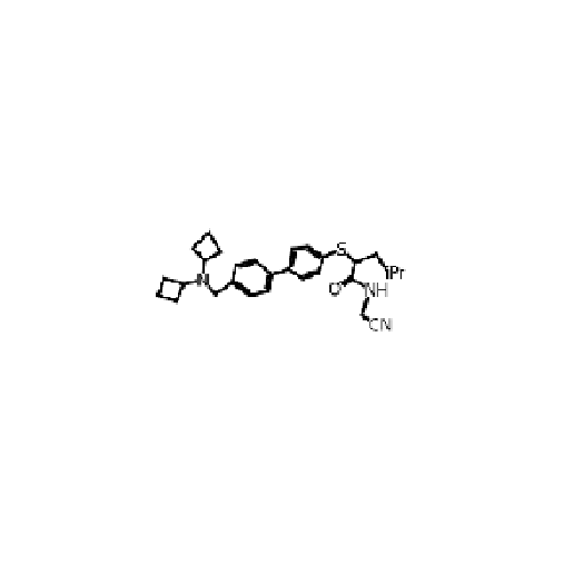 CC(C)CC(Sc1ccc(-c2ccc(CN(C3CCC3)C3CCC3)cc2)cc1)C(=O)NCC#N